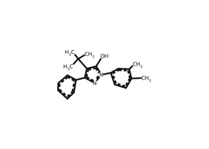 Cc1ccc(-n2nc(-c3ccccc3)c(C(C)(C)C)c2O)cc1C